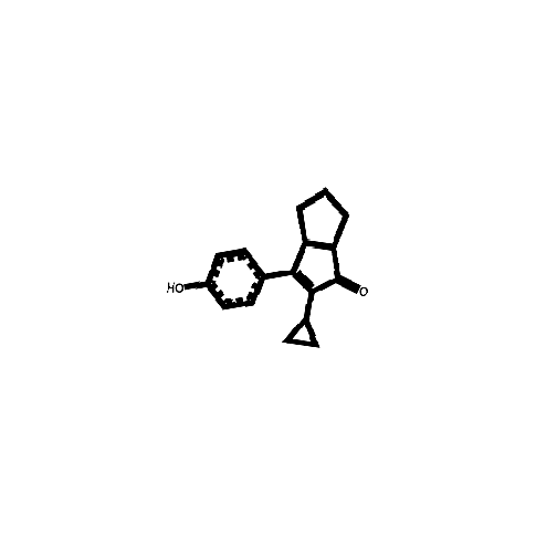 O=C1C(C2CC2)=C(c2ccc(O)cc2)C2CCCC12